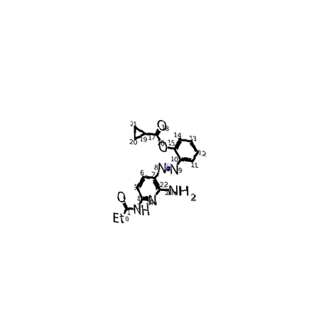 CCC(=O)Nc1ccc(/N=N/c2ccccc2OC(=O)C2CC2)c(N)n1